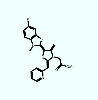 C=C1/C(=C2\Sc3cc(F)ccc3N2C)S/C(=C\c2ccccn2)N1CC(=O)OC